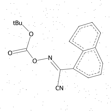 CC(C)(C)OC(=O)ON=C(C#N)c1cccc2ccccc12